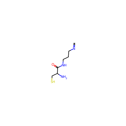 C=NCCCNC(=O)C(N)CS